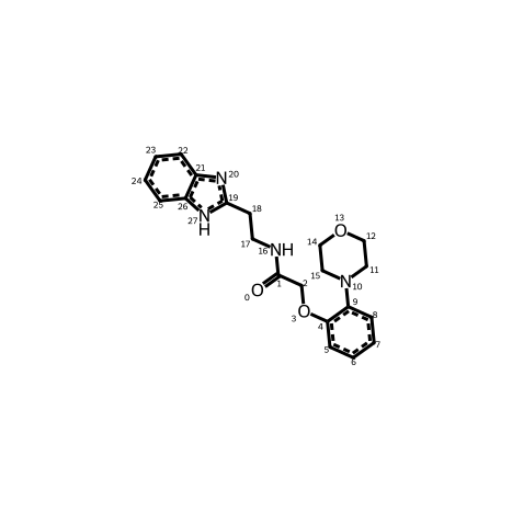 O=C(COc1ccccc1N1CCOCC1)NCCc1nc2ccccc2[nH]1